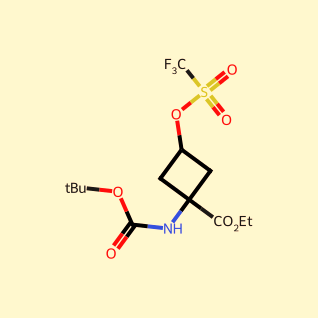 CCOC(=O)C1(NC(=O)OC(C)(C)C)CC(OS(=O)(=O)C(F)(F)F)C1